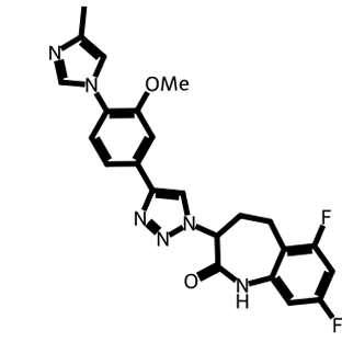 COc1cc(-c2cn(C3CCc4c(F)cc(F)cc4NC3=O)nn2)ccc1-n1cnc(C)c1